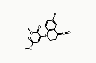 COC(=O)/C=C(\C(=O)OC)N1CCC(=C=O)c2cc(F)ccc21